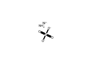 O=S(=O)([O-])[O-].[NH4+].[Ni+]